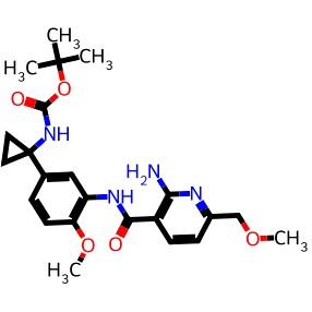 COCc1ccc(C(=O)Nc2cc(C3(NC(=O)OC(C)(C)C)CC3)ccc2OC)c(N)n1